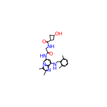 Cc1cccc(C)c1CNc1cc(NC(=O)CNC(=O)C2CC(O)C2)cn2c(C)c(C)nc12